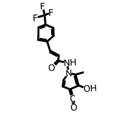 CC1=C(O)C(=C=O)C=CN1NC(=O)/C=C/c1ccc(C(F)(F)F)cc1